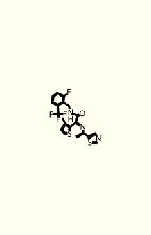 C=C(/N=C(/C(=O)NCc1c(F)cccc1C(F)(F)F)c1sccc1C)c1cncs1